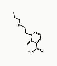 CCCNCCn1cccc(C(N)=O)c1=O